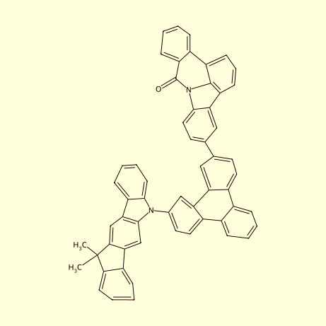 CC1(C)c2ccccc2-c2cc3c(cc21)c1ccccc1n3-c1ccc2c3ccccc3c3ccc(-c4ccc5c(c4)c4cccc6c7ccccc7c(=O)n5c64)cc3c2c1